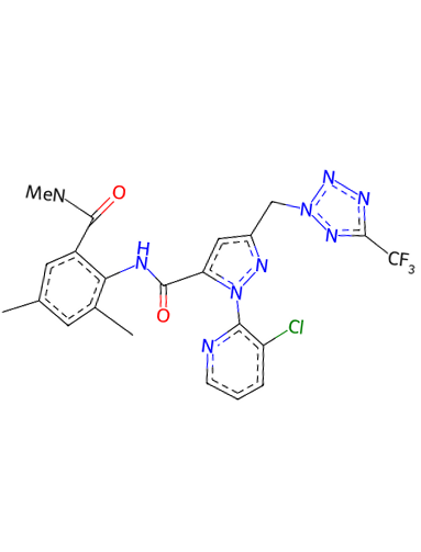 CNC(=O)c1cc(C)cc(C)c1NC(=O)c1cc(Cn2nnc(C(F)(F)F)n2)nn1-c1ncccc1Cl